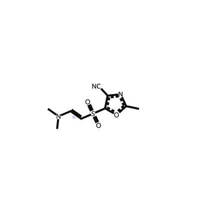 Cc1nc(C#N)c(S(=O)(=O)/C=C/N(C)C)o1